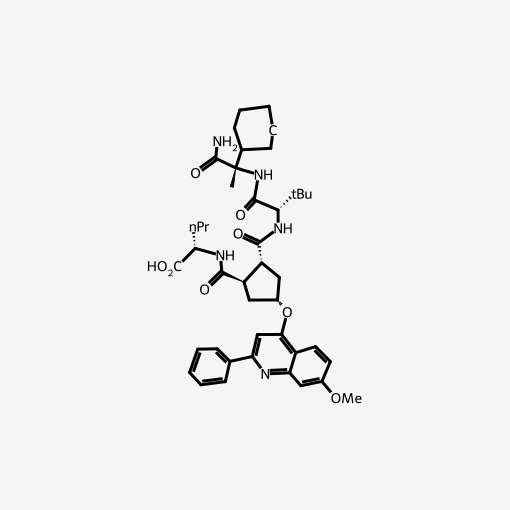 CCC[C@H](NC(=O)[C@@H]1C[C@@H](Oc2cc(-c3ccccc3)nc3cc(OC)ccc23)C[C@H]1C(=O)N[C@H](C(=O)N[C@](C)(C(N)=O)C1CCCCC1)C(C)(C)C)C(=O)O